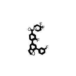 O=C(c1ccc(-c2cc(-c3cccc(F)c3)c3occc3c2)c(F)c1)N1CCC(F)(F)CC1